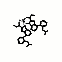 CCC(C)C1=Cc2c(-c3ccccc3CC(C)C)cccc2[CH]1[Zr]([CH]1C(C(C)CC)=Cc2c(-c3ccccc3CC(C)C)cccc21)[SiH](C)C